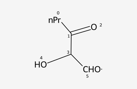 CCCC(=O)C(O)[C]=O